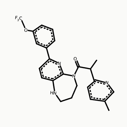 Cc1ccc(C(C)C(=O)N2CCCNc3ccc(-c4cccc(OC(F)(F)F)c4)nc32)nc1